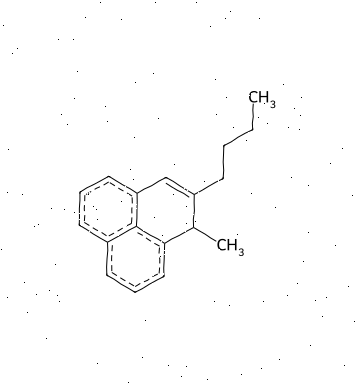 CCCCC1=Cc2cccc3cccc(c23)C1C